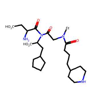 CCN(CC(=O)N(C(=O)C(N)CC(=O)O)C(CC1CCCC1)C(=O)O)C(=O)CCCC1CCNCC1